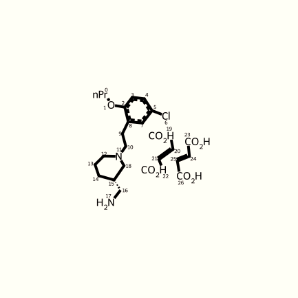 CCCOc1ccc(Cl)cc1CCN1CCC[C@@H](CN)C1.O=C(O)/C=C/C(=O)O.O=C(O)/C=C/C(=O)O